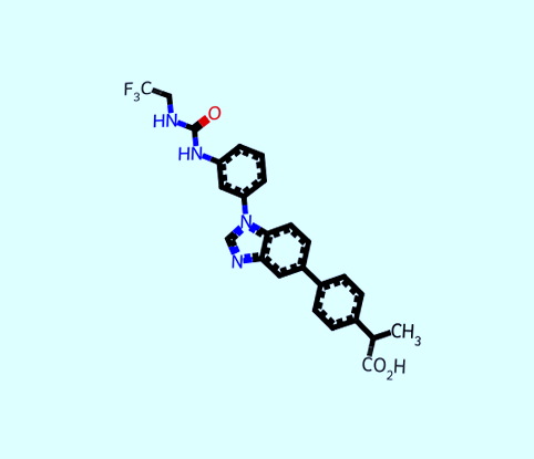 CC(C(=O)O)c1ccc(-c2ccc3c(c2)ncn3-c2cccc(NC(=O)NCC(F)(F)F)c2)cc1